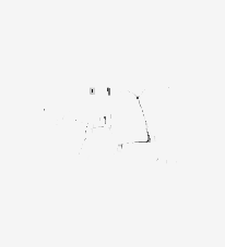 C[C@@H](CC(C)(C)C)C(=O)NN(C)C